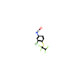 O=C=Nc1ccc(SC(F)(F)C(F)F)c(Cl)c1